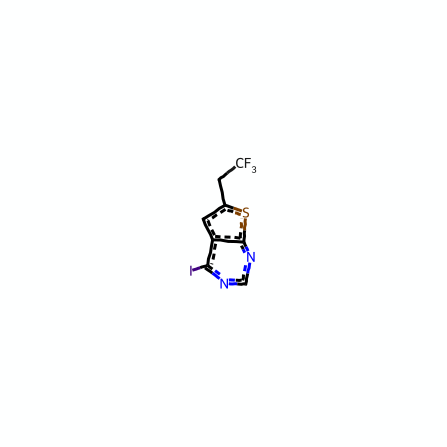 FC(F)(F)Cc1cc2c(I)ncnc2s1